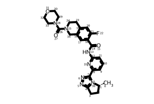 C[C@@H]1CCc2nnc(-c3cccc(NC(=O)c4cc5c(cc4F)CCN(C(=O)N4CCOCC4)C5)n3)n21